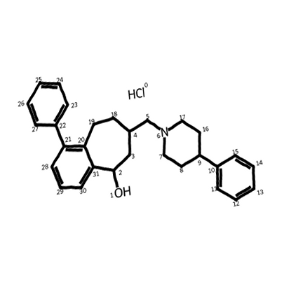 Cl.OC1CC(CN2CCC(c3ccccc3)CC2)CCc2c(-c3ccccc3)cccc21